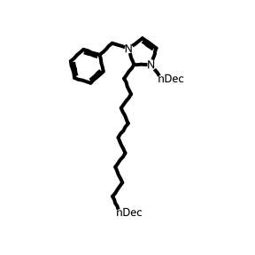 CCCCCCCCCCCCCCCCCCCC1N(CCCCCCCCCC)C=CN1Cc1ccccc1